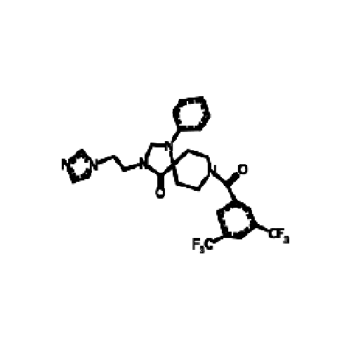 O=C(c1cc(C(F)(F)F)cc(C(F)(F)F)c1)N1CCC2(CC1)C(=O)N(CCn1ccnc1)CN2c1ccccc1